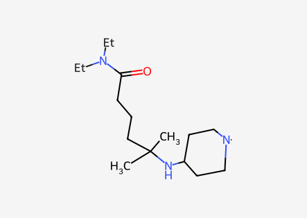 CCN(CC)C(=O)CCCC(C)(C)NC1CC[N]CC1